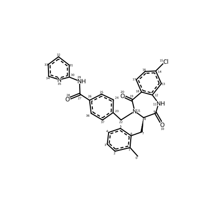 Cc1ccccc1C[C@@H]1C(=O)Nc2cc(Cl)ccc2C(=O)N1Cc1ccc(C(=O)Nc2ccccn2)cc1